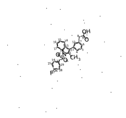 Cc1c(-c2cccc(CC(=O)O)c2)c2ccccc2n1S(=O)(=O)c1ccc(F)cc1